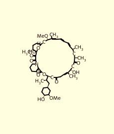 CO[C@H]1C[C@@H]2CC[C@@H](C)[C@@](O)(O2)C(=O)C(=O)N2CCCC[C@H]2C(=O)O[C@H]([C@H](C)C[C@@H]2CC[C@@H](O)[C@H](OC)C2)CC(=O)C/C=C(\C)[C@@H](O)CC(=O)[C@H](C)C[C@H](C)/C=C/C=C/C=C/1C